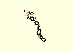 NC(=O)Nc1cc(F)c(C2CCC(=NOC3CCN(c4nc5ccccc5s4)CC3)CC2)cc1F